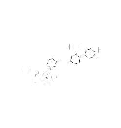 CC(=O)ON(C)C(=O)c1cccc(COc2ccc(-c3cc(F)c(F)cc3C)cc2)c1